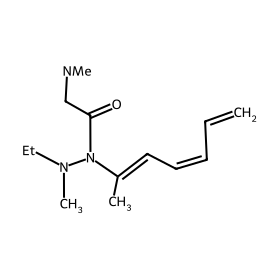 C=C/C=C\C=C(/C)N(C(=O)CNC)N(C)CC